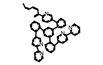 C=C(/C=C\C=C/C)c1ccc(-c2ccccc2-c2cc(-c3ccccc3-c3ccc(-c4ccccn4)nc3)cc(-c3ccccc3-c3ccc(-c4ccccn4)nc3)c2)cn1